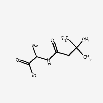 CCC(=O)C(NC(=O)CC(C)(O)C(F)(F)F)C(C)(C)C